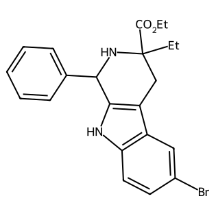 CCOC(=O)C1(CC)Cc2c([nH]c3ccc(Br)cc23)C(c2ccccc2)N1